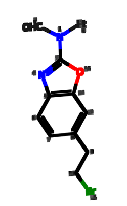 CCN(C=O)c1nc2ccc(CCBr)cc2o1